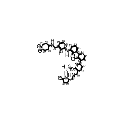 COc1nc(-c2ccnc(-c3cccc(Nc4nccc(CNC5CCS(=O)(=O)CC5)c4F)c3Cl)c2Cl)ccc1CNC[C@H]1CCC(=O)N1